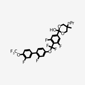 CCCC1(C)COC(O)(c2cc(F)c(C(F)(F)Oc3ccc(-c4ccc(OC(F)(F)F)c(F)c4)c(F)c3)c(F)c2)OC1